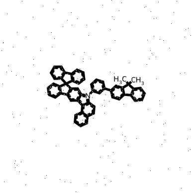 CC1(C)c2ccccc2-c2ccc(-c3cccc(-n4c5cc6c(cc5c5c7ccccc7ccc54)-c4ccccc4C64c5ccccc5-c5ccccc54)c3)cc21